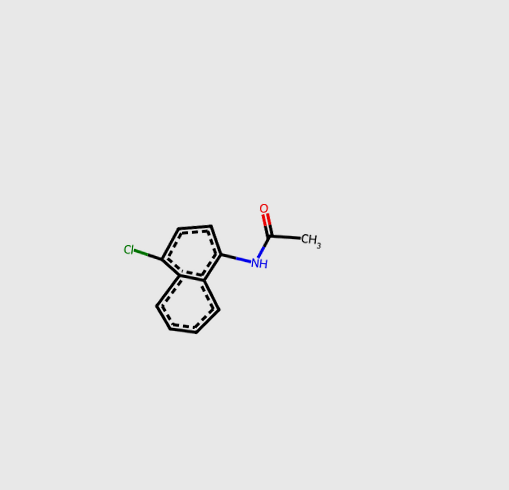 CC(=O)Nc1ccc(Cl)c2ccccc12